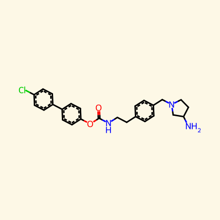 NC1CCN(Cc2ccc(CCNC(=O)Oc3ccc(-c4ccc(Cl)cc4)cc3)cc2)C1